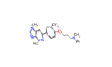 CC(C)N(C)CCCOc1ccc(-c2cc3c(ncn3C)c(C#N)n2)cc1C(F)(F)F